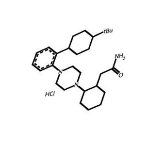 CC(C)(C)C1CCC(c2ccccc2N2CCN(C3CCCCC3CC(N)=O)CC2)CC1.Cl